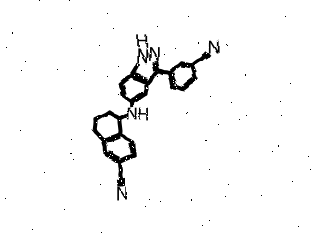 N#Cc1cccc(-c2n[nH]c3ccc(NC4CCCc5cc(C#N)ccc54)cc23)c1